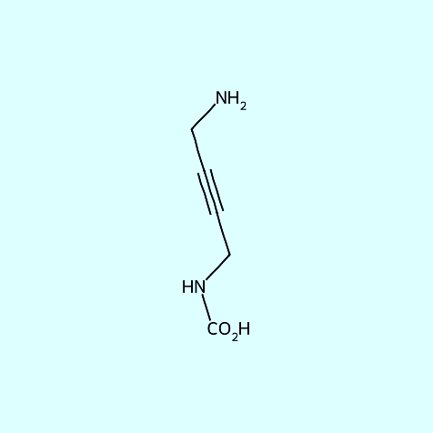 NCC#CCNC(=O)O